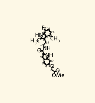 COC(=O)COc1ccc2cc(C(=O)NCCc3c(C)[nH]c4c(F)ccc(C)c34)[nH]c2c1